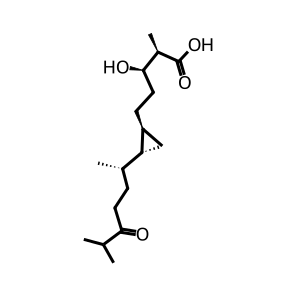 CC(C)C(=O)CC[C@H](C)[C@H]1C[C@@H]1CC[C@@H](O)[C@@H](C)C(=O)O